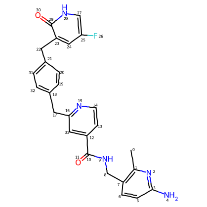 Cc1nc(N)ccc1CNC(=O)c1ccnc(Cc2ccc(Cc3cc(F)c[nH]c3=O)cc2)c1